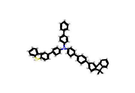 CC1(C)c2ccccc2-c2cc(-c3ccc(-c4ccc(N(c5ccc(-c6ccccc6)cc5)c5ccc(-c6ccc7sc8ccccc8c7c6)cc5)cc4)cc3)ccc21